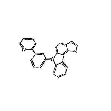 c1ccc(-c2cccc(-n3c4ccccc4c4c5sccc5ccc43)c2)nc1